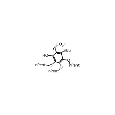 CCCCCOc1c(O)c(OC(=O)O)c(CCCC)c(OCCCCC)c1OCCCCC